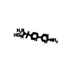 CC(C)(/C(N)=N/O)c1ccc(-c2cnc(N)nc2)nc1